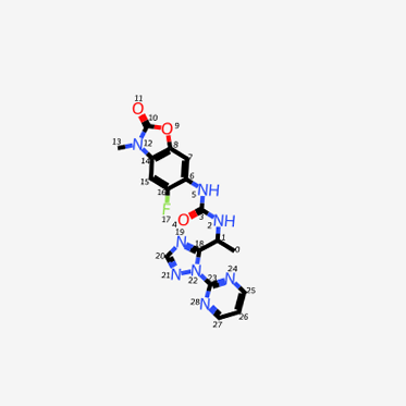 CC(NC(=O)Nc1cc2oc(=O)n(C)c2cc1F)c1ncnn1-c1ncccn1